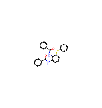 O=C(Nc1cccc(Sc2ccccc2)c1NC(=O)c1ccccc1)c1ccccc1